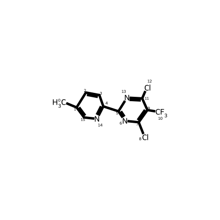 Cc1ccc(-c2nc(Cl)c(C(F)(F)F)c(Cl)n2)nc1